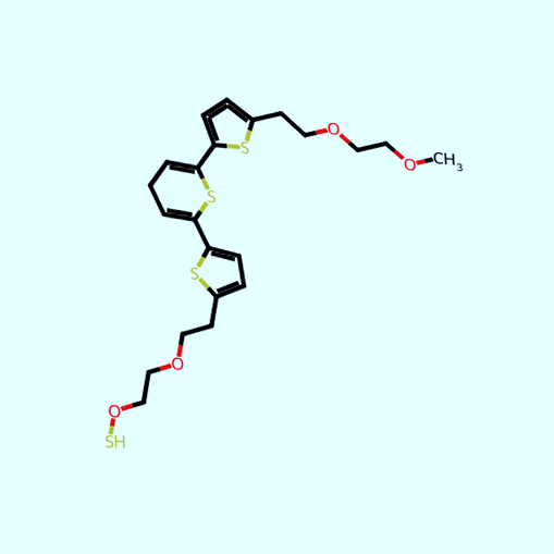 COCCOCCC1=C=C=C(C2=CCC=C(c3ccc(CCOCCOS)s3)S2)S1